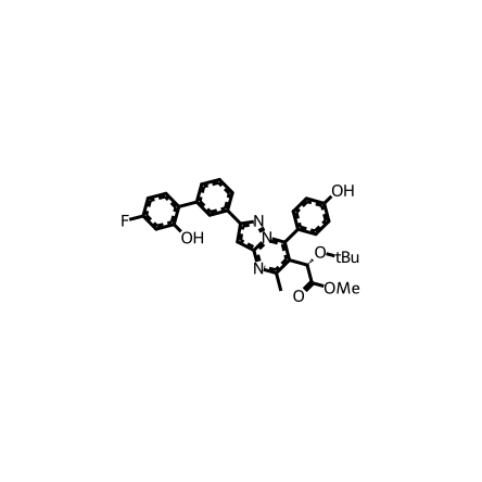 COC(=O)[C@@H](OC(C)(C)C)c1c(C)nc2cc(-c3cccc(-c4ccc(F)cc4O)c3)nn2c1-c1ccc(O)cc1